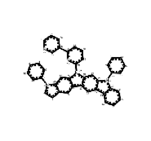 c1ccc(-n2ccc3cc4c5cc6c7ccccc7n(-c7ccccc7)c6cc5n(-c5cccc(-c6cccnc6)n5)c4cc32)cc1